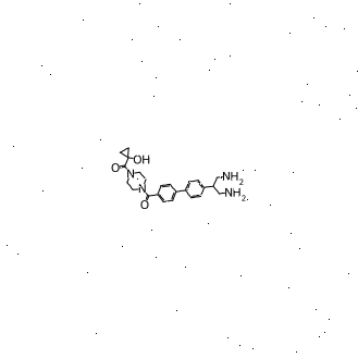 NCC(CN)c1ccc(-c2ccc(C(=O)N3CCN(C(=O)C4(O)CC4)CC3)cc2)cc1